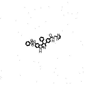 CN(c1ccc2[nH]c3ncc(-c4ccc(C(=O)NCc5nccn5C)cc4)c(-c4ccccc4)c3c2c1)S(=O)(=O)c1ccccc1